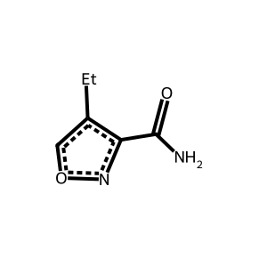 CCc1conc1C(N)=O